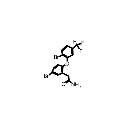 NC(=O)Cc1cc(Br)ccc1Oc1cc(C(F)(F)F)ccc1Br